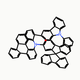 c1ccc(-n2c3ccccc3c3cc(-c4ccccc4N(c4ccc5c(c4)C4(c6ccccc6-c6ccccc64)c4ccccc4-5)c4cccc5c6ccccc6c6ccccc6c45)ccc32)cc1